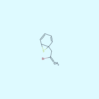 C=C(Br)CC12C=CC=CC1S2